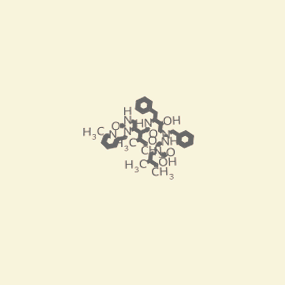 CCC(C)CN(C(=O)O)C(=O)NN(Cc1ccccc1)CC(O)C(Cc1ccccc1)NC(=O)C(C(C)CC)C1CNC(=O)N1Cc1cccc(C)n1